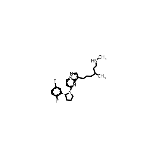 CNCCC(C)CCCc1cnn2ccc(N3CCC[C@@H]3c3cc(F)ccc3F)nc12